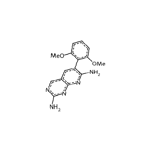 COc1cccc(OC)c1-c1cc2cnc(N)nc2nc1N